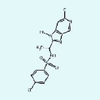 CCn1c([C@@H](C)NS(=O)(=O)c2ccc(Cl)cc2)nc2cnc(Cl)cc21